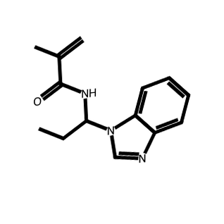 C=C(C)C(=O)NC(CC)n1cnc2ccccc21